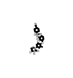 Cc1cc(-n2ncc(=O)[nH]c2=O)cc(Cl)c1Oc1ccc(O)c(NS(=O)(=O)c2ccc(C#N)cc2)c1